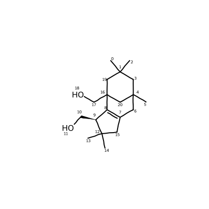 CC1(C)CC2(C)CC3=C([C@H](CO)C(C)(C)C3)C(CO)(C1)C2